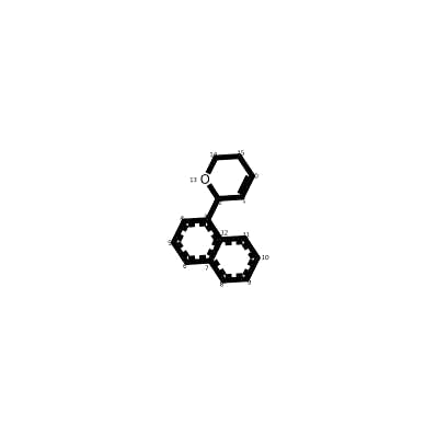 C1=CC(c2cccc3ccccc23)OCC1